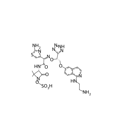 CC1(C)[C@H](NC(=O)/C(=N\O[C@@H](COc2ccc3c(NCCN)nccc3c2)c2nn[nH]n2)c2csc(N)n2)C(=O)N1OS(=O)(=O)O